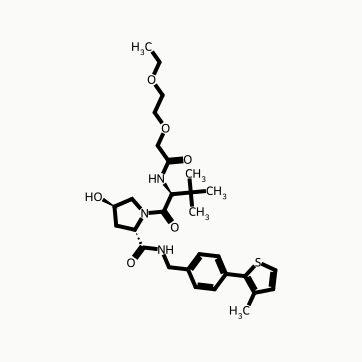 CCOCCOCC(=O)N[C@H](C(=O)N1C[C@H](O)C[C@H]1C(=O)NCc1ccc(-c2sccc2C)cc1)C(C)(C)C